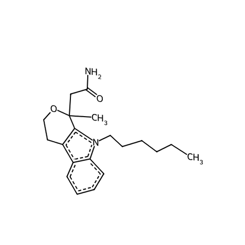 CCCCCCn1c2c(c3ccccc31)CCOC2(C)CC(N)=O